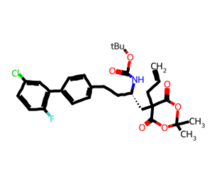 C=CCC1(C[C@H](CCc2ccc(-c3cc(Cl)ccc3F)cc2)NC(=O)OC(C)(C)C)C(=O)OC(C)(C)OC1=O